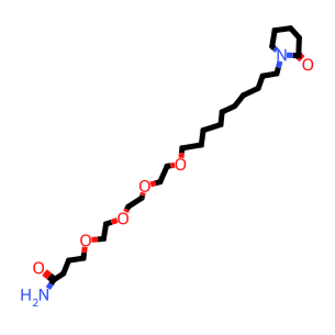 NC(=O)CCCOCCOCCOCCOCCCCCCCCCCN1CCCCC1=O